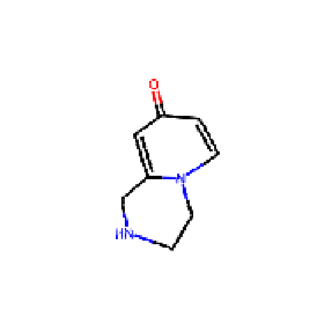 O=c1ccn2c(c1)CNCC2